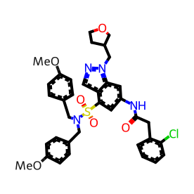 COc1ccc(CN(Cc2ccc(OC)cc2)S(=O)(=O)c2cc(NC(=O)Cc3ccccc3Cl)cc3c2cnn3CC2CCOC2)cc1